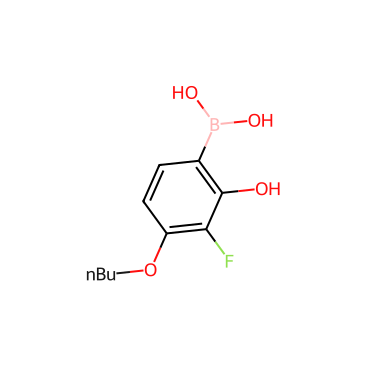 CCCCOc1ccc(B(O)O)c(O)c1F